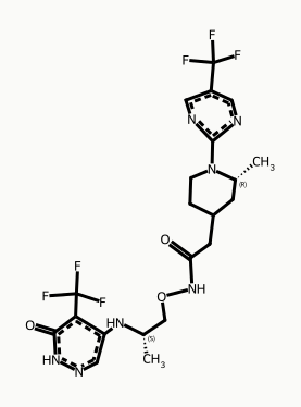 C[C@@H]1CC(CC(=O)NOC[C@H](C)Nc2cn[nH]c(=O)c2C(F)(F)F)CCN1c1ncc(C(F)(F)F)cn1